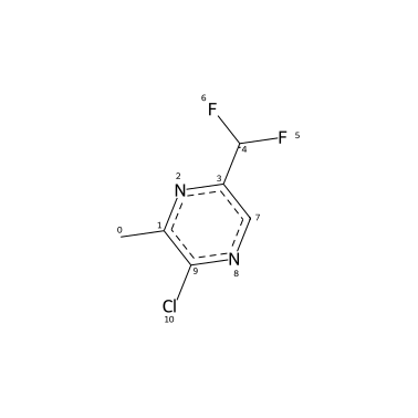 Cc1nc([C](F)F)cnc1Cl